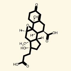 C[C@]12CCC(=O)C=C1C[C@@H](C(=O)O)[C@H]1[C@@H]3CC[C@@](O)(CCC(=O)O)[C@@]3(C)C[C@H]3OC132